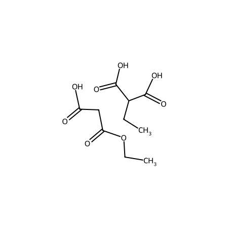 CCC(C(=O)O)C(=O)O.CCOC(=O)CC(=O)O